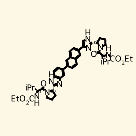 CCOC(=O)N[C@H](C(=O)N1CCC[C@H]1c1nc(-c2ccc3cc(-c4ccc5[nH]c([C@@H]6CCCN6C(=O)[C@@H](NC(=O)OCC)C(C)C)nc5c4)ccc3c2)c[nH]1)C(C)C